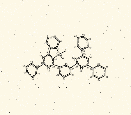 C[Si]1(C)c2ccccc2-c2nc(-c3ccccc3)nc(-c3cccc(-c4nc(-c5ccccc5)cc(-c5ccccc5)n4)c3)c21